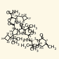 C=C1CC(=O)N(C[C@@H](NC(=O)N[C@H](C(=O)N2CC3(C[C@H]2C(=O)NC(CC2CCC2)C(=O)C(N)=O)C(C)(C)C32CCC2)C(C)(C)C)C(C)(C)C)C(=O)C1